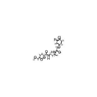 C=C(CCNC(=O)C1CCC(COC)OO1)NC(=O)COc1ccc(Cl)c(F)c1